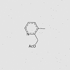 CC(=O)OCc1ncccc1C